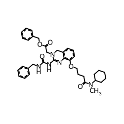 CN(C(=O)CCCOc1cccc2c1N=C(NC(=O)NCc1ccccc1)N(CC(=O)OCc1ccccc1)C2)C1CCCCC1